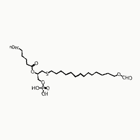 CCCCCCCCCCCCCCC(=O)O[C@H](COP(=O)(O)O)CSCCCCCCCCCCCCCCOC=O